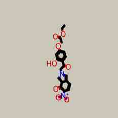 CCOC(=O)COc1ccc(C(=O)CN2C=C3C=CC([N+](=O)[O-])C(=O)C3C2)c(O)c1